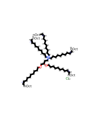 CCCCCCCC/C=C\CCCCCCCCOCC(CC[N+](CCCCCCCC/C=C\CCCCCCCC)(CCCCCCCC/C=C\CCCCCCCC)CCCCCCCC/C=C\CCCCCCCC)OCCCCCCCC/C=C\CCCCCCCC.[Cl-]